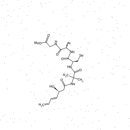 C=C/C=C/[C@@H](O)CC(=O)NC(C)(C)C(=O)N[C@H](CS)C(=O)N[C@@H](C(=O)NCC(=O)OC)C(C)C